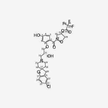 O=C(c1ccc(O)cc1OC[C@H](O)CN1CCC2(CC1)Cc1cc(Cl)ccc1O2)N1C[C@@H](OC(=O)C(F)(F)F)CO1